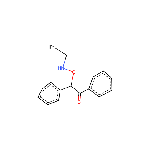 CC(C)CNOC(C(=O)c1ccccc1)c1ccccc1